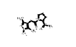 Cc1nn(C)c(C)c1CC(=O)N1CCCC1C(N)=O